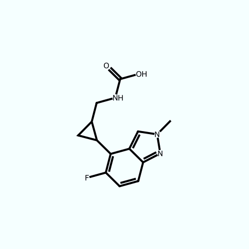 Cn1cc2c(C3CC3CNC(=O)O)c(F)ccc2n1